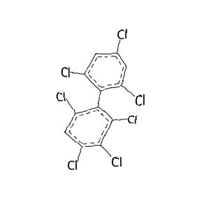 Clc1cc(Cl)c(-c2c(Cl)cc(Cl)c(Cl)c2Cl)c(Cl)c1